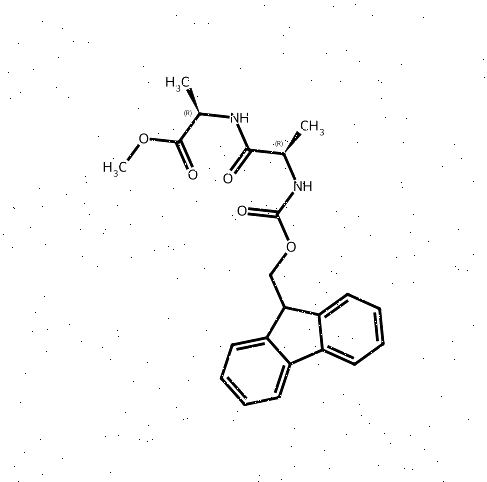 COC(=O)[C@@H](C)NC(=O)[C@@H](C)NC(=O)OCC1c2ccccc2-c2ccccc21